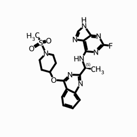 C[C@H](Nc1nc(F)nc2[nH]cnc12)c1nc(OC2CCN(S(C)(=O)=O)CC2)c2ccccc2n1